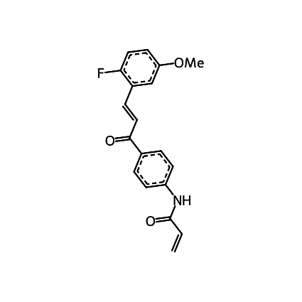 C=CC(=O)Nc1ccc(C(=O)C=Cc2cc(OC)ccc2F)cc1